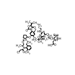 CC(C)=C1OC(=O)N(c2cc(OC3CCCC3)c(Cl)cc2F)C1=O.CCNc1nc(Cl)nc(NC(C)(C)C)n1.CCc1cccc(C)c1N(C(=O)CCl)C(C)COC.C[S+](C)C.O=C(O)CNCP(=O)([O-])O